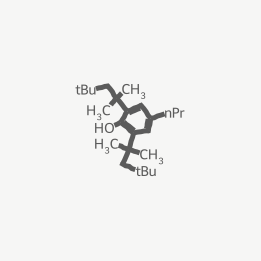 CCCc1cc(C(C)(C)CC(C)(C)C)c(O)c(C(C)(C)CC(C)(C)C)c1